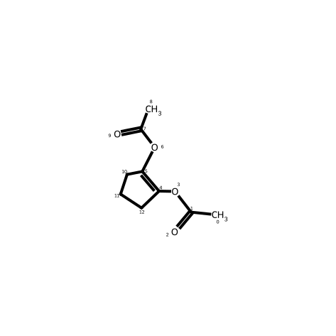 CC(=O)OC1=C(OC(C)=O)CCC1